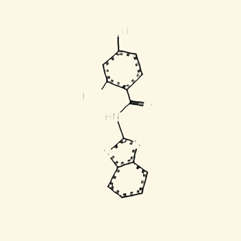 Cc1ccc(C(=O)Nc2nc3ccccc3[nH]2)c(C)c1